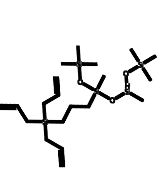 C=CC[Si](CC=C)(CC=C)CCC[Si](C)(O[SiH](C)O[Si](C)(C)C)O[Si](C)(C)C